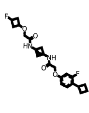 O=C(COc1ccc(C2CCC2)c(F)c1)NC12CC(NC(=O)COC3CC(F)C3)(C1)C2